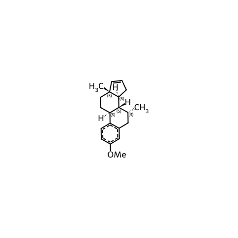 COc1ccc2c(c1)C[C@@H](C)[C@@H]1[C@@H]2CC[C@]2(C)C=CC[C@@H]12